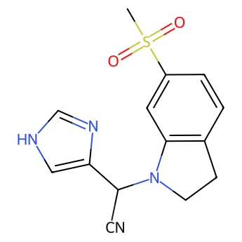 CS(=O)(=O)c1ccc2c(c1)N(C(C#N)c1c[nH]cn1)CC2